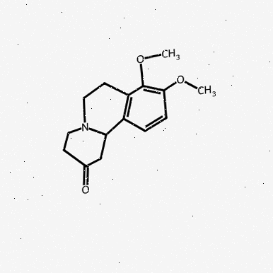 COc1ccc2c(c1OC)CCN1CCC(=O)CC21